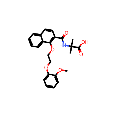 COc1ccccc1OCCOc1c(C(=O)NC(C)(C)C(=O)O)ccc2ccccc12